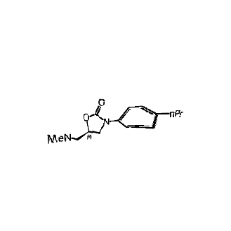 CCCc1ccc(N2C[C@@H](CNC)OC2=O)cc1